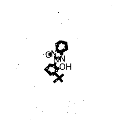 CC(C)(C)c1cccc(-n2nc3ccccc3[n+]2[O-])c1O